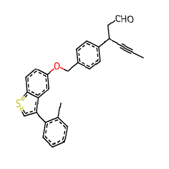 CC#CC(CC=O)c1ccc(COc2ccc3scc(-c4ccccc4C)c3c2)cc1